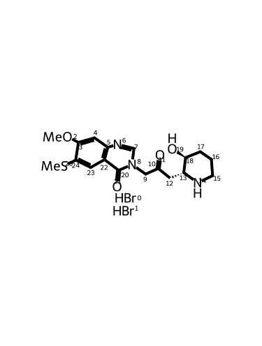 Br.Br.COc1cc2ncn(CC(=O)C[C@H]3NCCC[C@@H]3O)c(=O)c2cc1SC